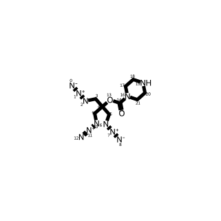 [N-]=[N+]=NCC(CN=[N+]=[N-])(CN=[N+]=[N-])OC(=O)N1CCNCC1